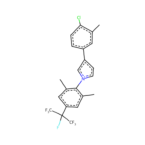 Cc1cc(-c2ccn(-c3c(C)cc(C(F)(C(F)(F)F)C(F)(F)F)cc3C)c2)ccc1Cl